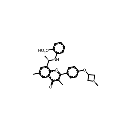 Cc1cc([C@@H](C)Nc2ccccc2C(=O)O)c2oc(-c3ccc(OC4CN(C)C4)cc3)c(C)c(=O)c2c1